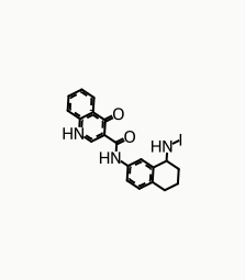 O=C(Nc1ccc2c(c1)C(NI)CCC2)c1c[nH]c2ccccc2c1=O